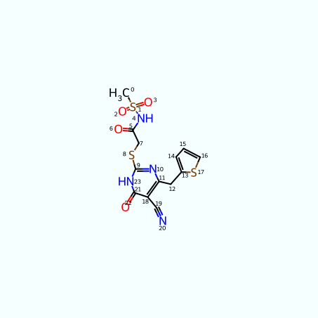 CS(=O)(=O)NC(=O)CSc1nc(Cc2cccs2)c(C#N)c(=O)[nH]1